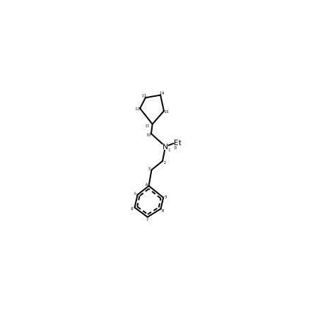 CCN(CCc1ccccc1)CC1CCCC1